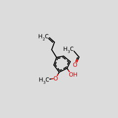 C=CCc1ccc(O)c(OC)c1.CC=O